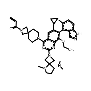 C=CC(=O)N1CC2(CCN(c3nc(N4CC5(C4)[C@H](N(C)C)CCN5C)nc4c(OCC(F)(F)F)c(-c5c(C)ccc6[nH]ncc56)c(C5CC5)cc34)CC2)C1